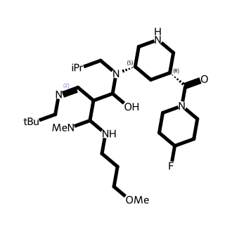 CNC(NCCCOC)C(/C=N\CC(C)(C)C)C(O)N(CC(C)C)[C@@H]1CNC[C@H](C(=O)N2CCC(F)CC2)C1